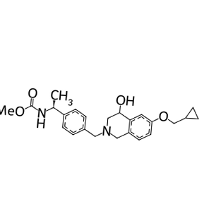 COC(=O)N[C@@H](C)c1ccc(CN2Cc3ccc(OCC4CC4)cc3C(O)C2)cc1